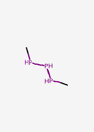 CPPPC